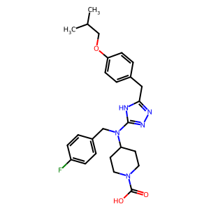 CC(C)COc1ccc(Cc2nnc(N(Cc3ccc(F)cc3)C3CCN(C(=O)O)CC3)[nH]2)cc1